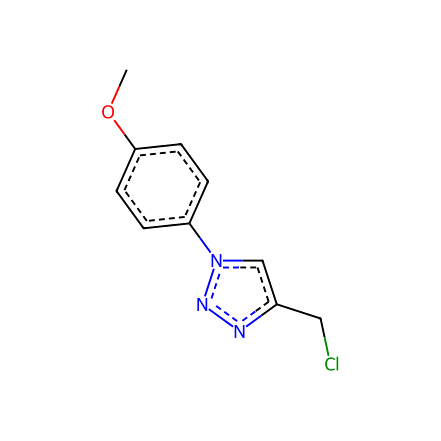 COc1ccc(-n2cc(CCl)nn2)cc1